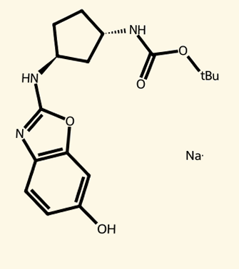 CC(C)(C)OC(=O)N[C@H]1CC[C@H](Nc2nc3ccc(O)cc3o2)C1.[Na]